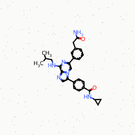 CC(C)CNc1nc(-c2cccc(CC(N)=O)c2)cn2c(-c3ccc(C(=O)NC4CC4)cc3)cnc12